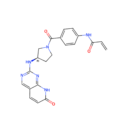 C=CC(=O)Nc1ccc(C(=O)N2CC[C@@H](Nc3ncc4ccc(=O)[nH]c4n3)C2)cc1